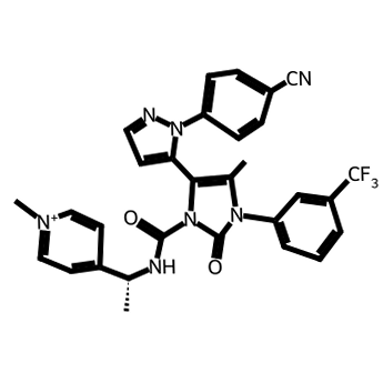 Cc1c(-c2ccnn2-c2ccc(C#N)cc2)n(C(=O)N[C@H](C)c2cc[n+](C)cc2)c(=O)n1-c1cccc(C(F)(F)F)c1